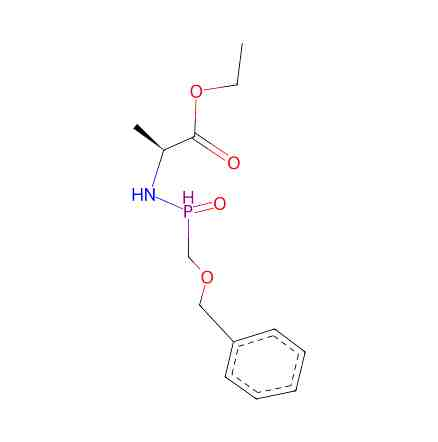 CCOC(=O)[C@H](C)N[PH](=O)COCc1ccccc1